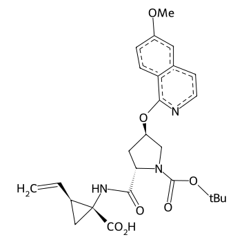 C=C[C@@H]1C[C@]1(NC(=O)[C@@H]1C[C@@H](Oc2nccc3cc(OC)ccc23)CN1C(=O)OC(C)(C)C)C(=O)O